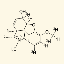 [2H]c1c([2H])c(OC([2H])([2H])[2H])c2c3c1C[C@@]1([2H])N(C)CC[C@@]34C([2H])(O2)C([2H])(O)C=C[C@@]14[2H]